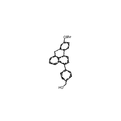 COc1ccc2c(c1)Cc1cccc3c(-c4ccc(CO)cc4)ccc-2c13